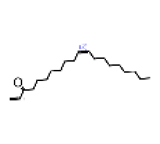 C=[C]C(=O)CCCCCCC/C=C\CCCCCCCC